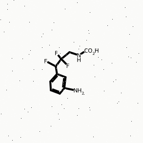 Nc1cccc(C(F)C(F)(F)CNC(=O)O)c1